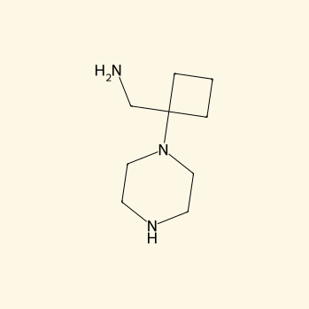 NCC1(N2CCNCC2)CCC1